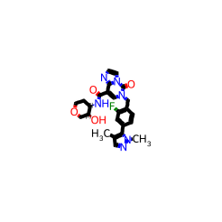 Cc1cnn(C)c1-c1ccc(Cn2cc(C(=O)N[C@H]3CCOC[C@@H]3O)c3nccn3c2=O)c(F)c1